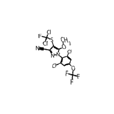 COc1c(SC(F)(Cl)Cl)c(C#N)nn1-c1c(Cl)cc(OC(F)(F)F)cc1Cl